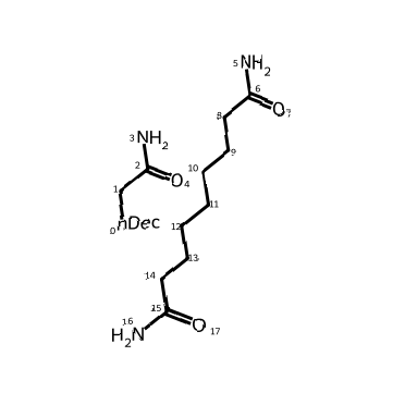 CCCCCCCCCCCC(N)=O.NC(=O)CCCCCCCC(N)=O